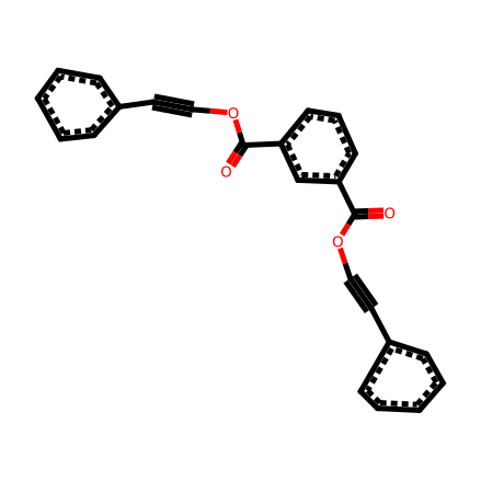 O=C(OC#Cc1ccccc1)c1cccc(C(=O)OC#Cc2ccccc2)c1